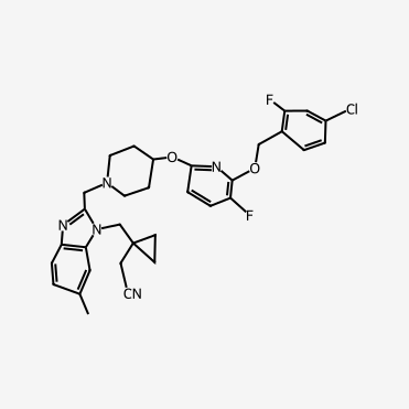 Cc1ccc2nc(CN3CCC(Oc4ccc(F)c(OCc5ccc(Cl)cc5F)n4)CC3)n(CC3(CC#N)CC3)c2c1